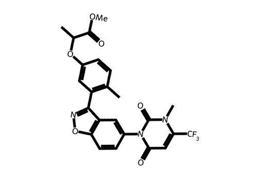 COC(=O)C(C)Oc1ccc(C)c(-c2noc3ccc(-n4c(=O)cc(C(F)(F)F)n(C)c4=O)cc23)c1